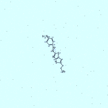 CC(C)CCc1cc2sc(/N=N/c3ccc(N)cc3)nc2s1